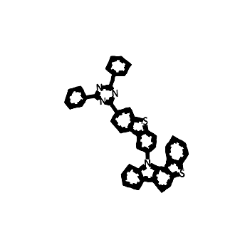 c1ccc(-c2nc(-c3ccccc3)nc(-c3ccc4c(c3)sc3ccc(-n5c6ccccc6c6ccc7sc8ccccc8c7c65)cc34)n2)cc1